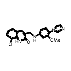 COc1cc(NCc2cc3cccc(Cl)c3[nH]c2=O)ccc1-n1ccnc1